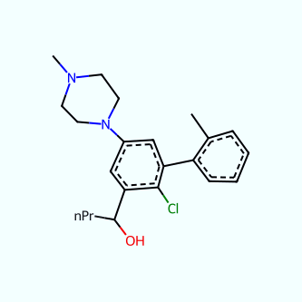 CCCC(O)c1cc(N2CCN(C)CC2)cc(-c2ccccc2C)c1Cl